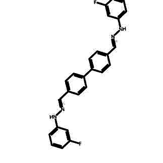 Fc1cccc(N/N=C/c2ccc(-c3ccc(/C=N/Nc4cccc(F)c4)cc3)cc2)c1